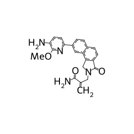 C=C(CN1Cc2c(ccc3ccc(-c4ccc(N)c(OC)n4)cc23)C1=O)C(N)=O